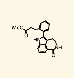 COC(=O)CCc1ccccc1-c1[nH]c2cccc3c2c1CCNC3=O